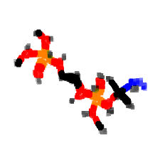 COP(=O)(OC)OCCOP(=O)(OC)OC(C)(C)N